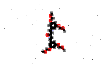 COCOc1cc(/C=C/C(=O)/C=C/c2cc(OCOC)cc(OCOC)c2)cc(OCOC)c1